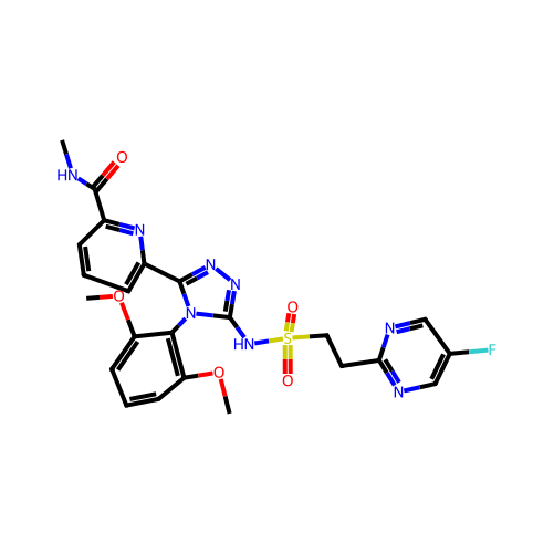 CNC(=O)c1cccc(-c2nnc(NS(=O)(=O)CCc3ncc(F)cn3)n2-c2c(OC)cccc2OC)n1